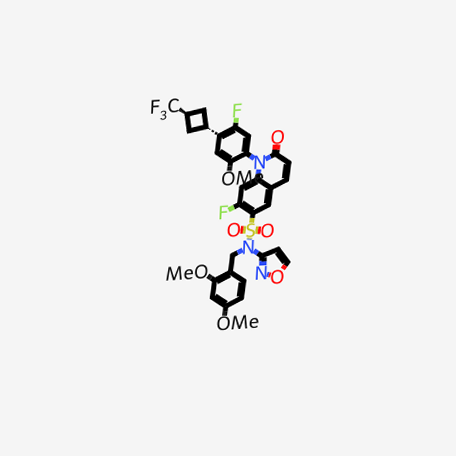 COc1ccc(CN(c2ccon2)S(=O)(=O)c2cc3ccc(=O)n(-c4cc(F)c([C@H]5C[C@H](C(F)(F)F)C5)cc4OC)c3cc2F)c(OC)c1